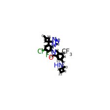 CC1CC(c2cc(Cl)c(F)c(N3Cc4c(cc(CNC5(C)CCC5)cc4C(F)(F)F)C3=O)c2)(c2nncn2C)C1